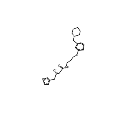 O=C(C[S+]([O-])Cc1ccoc1)NCCCOc1cccc(CN2CCCCC2)c1